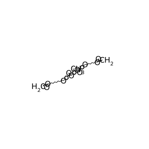 C=CC(=O)OCCCCCCCCOc1ccc(C(=O)Oc2ccc(OC(=O)c3ccc(OCCCCCCOC(=O)C=C)cc3)c(C)c2)cc1